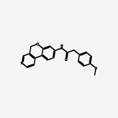 COc1ccc(CC(=O)Nc2ccc3c(c2)OCc2cnccc2-3)cc1